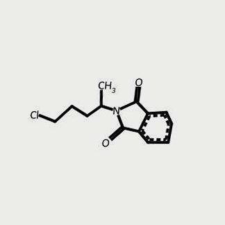 CC(CCCCl)N1C(=O)c2ccccc2C1=O